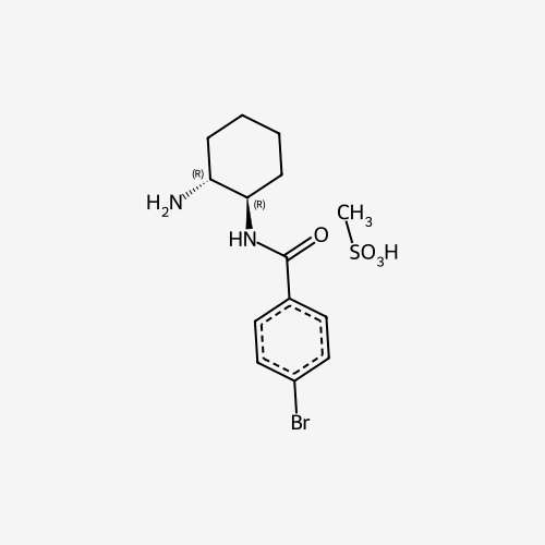 CS(=O)(=O)O.N[C@@H]1CCCC[C@H]1NC(=O)c1ccc(Br)cc1